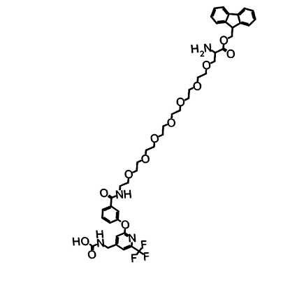 NC(COCCOCCOCCOCCOCCOCCOCCNC(=O)c1cccc(Oc2cc(CNC(=O)O)cc(C(F)(F)F)n2)c1)C(=O)OCC1c2ccccc2-c2ccccc21